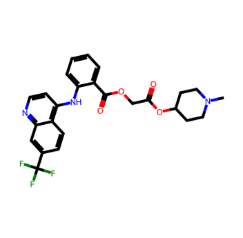 CN1CCC(OC(=O)COC(=O)c2ccccc2Nc2ccnc3cc(C(F)(F)F)ccc23)CC1